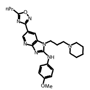 CCCc1nc(-c2cnc3nc(Nc4ccc(OC)cc4)n(CCCN4CCCCC4)c3c2)no1